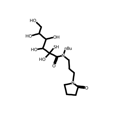 CCCCN(CCCN1CCCC1=O)C(=O)C(O)(S)C(O)C(O)C(O)CO